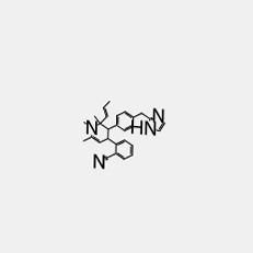 CC=CC1(C)C(c2ccc(Cc3ncc[nH]3)cc2)C(c2ccccc2C#N)C=C(C)N1C